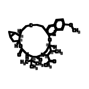 COc1ccc2cc3c(nc2c1)O[C@H]1CN(C(=O)[C@H](C(C)(C)C)NC(=O)O[C@@H]2CC4CC4[C@H]2CCCCC3)[C@H](C(C)=O)[C@@H]1C